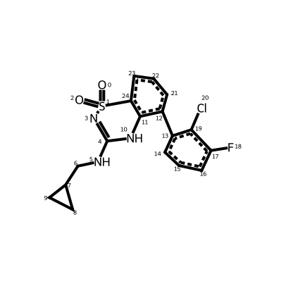 O=S1(=O)N=C(NCC2CC2)Nc2c(-c3cccc(F)c3Cl)cccc21